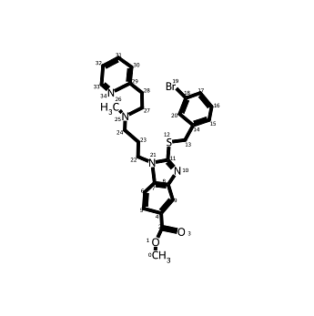 COC(=O)c1ccc2c(c1)nc(SCc1cccc(Br)c1)n2CCCN(C)CCc1ccccn1